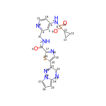 O=C(NCc1cc(NS(=O)(=O)C2CC2)ccn1)c1ncc(-c2cnc3cccn3n2)s1